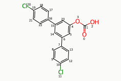 O=C(O)Oc1cc(-c2ccc(Cl)cc2)cc(-c2ccc(Cl)cc2)c1